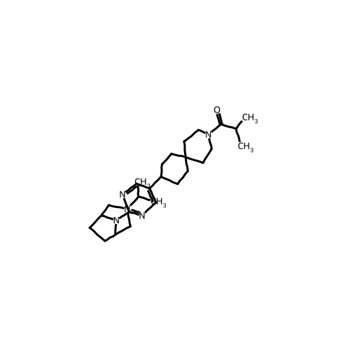 CC(C)C(=O)N1CCC2(CCC(c3cnc(N4C5CCC4CN(C(C)C)C5)nc3)CC2)CC1